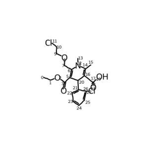 CCOC(=O)C1=C(COCCCl)N(C)C(C)=C(C(=O)O)C1c1ccccc1Cl